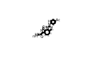 CCCNC(=O)c1nn(C)c2c1CCCc1cnc(Nc3ccc(C(C)=O)cc3)nc1-2